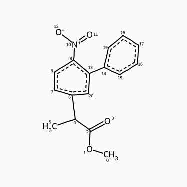 COC(=O)C(C)c1ccc([N+](=O)[O-])c(-c2ccccc2)c1